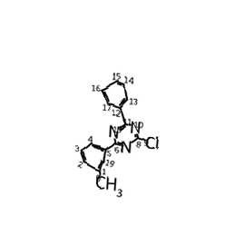 Cc1cccc(-c2nc(Cl)nc(-c3ccccc3)n2)c1